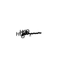 CCCCCCCCCCCCC(C[C@@H](N)C(=O)O)C(=O)O